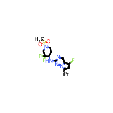 CC(C)c1cc(F)c2cnc(N[C@@H]3CCN(S(C)(=O)=O)CC3(F)F)nn12